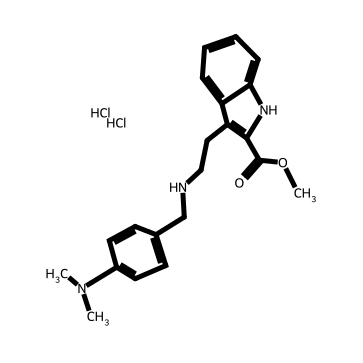 COC(=O)c1[nH]c2ccccc2c1CCNCc1ccc(N(C)C)cc1.Cl.Cl